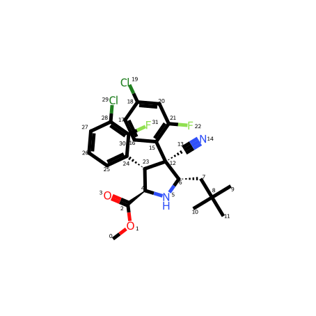 COC(=O)[C@@H]1N[C@@H](CC(C)(C)C)[C@](C#N)(c2ccc(Cl)cc2F)[C@H]1c1cccc(Cl)c1F